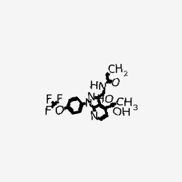 C=CC(=O)NCc1nn(-c2ccc(OC(F)(F)F)cc2)c2nccc(C(C)(O)O)c12